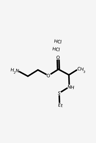 CCSNC(C)C(=O)OCCN.Cl.Cl